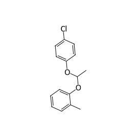 Cc1ccccc1OC(C)Oc1ccc(Cl)cc1